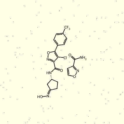 NC(=O)c1ccon1.O=C(N[C@@H]1CCC(=NO)C1)c1noc(-c2ccc(C(F)(F)F)cc2)c1Cl